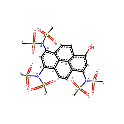 CS(=O)(=O)N(c1cc(O)c2ccc3c(N(S(C)(=O)=O)S(C)(=O)=O)cc(N(S(C)(=O)=O)S(C)(=O)=O)c4ccc1c2c34)S(C)(=O)=O